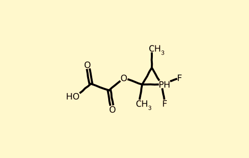 CC1C(C)(OC(=O)C(=O)O)[PH]1(F)F